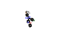 CSc1ccc(-c2nc(-c3ccc(F)cc3)c(-c3ccnc(Oc4ccccc4)c3)[nH]2)cc1